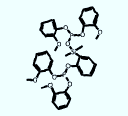 COc1ccccc1OP(Oc1ccccc1OC)Oc1ccccc1[Si](C)(C)OP(Oc1ccccc1OC)Oc1ccccc1OC